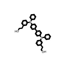 OCCc1cccc(N(c2ccccc2)c2ccc(-c3ccc(N(c4ccccc4)c4cccc(CCO)c4)cc3)cc2)c1